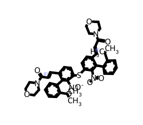 CC(C)c1ccccc1-c1c(/C=C/C(=O)N2CCOCC2)ccc(Sc2ccc(/C=C/C(=O)N3CCOCC3)c(-c3ccccc3C(C)C)c2[N+](=O)[O-])c1[N+](=O)[O-]